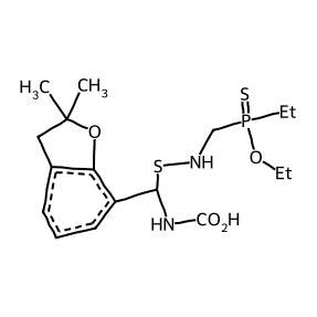 CCOP(=S)(CC)CNSC(NC(=O)O)c1cccc2c1OC(C)(C)C2